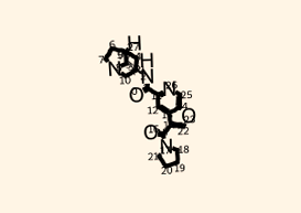 O=C(N[C@@H]1C[C@H]2CCN(C2)C1)c1cc2c(C(=O)N3CCCC3)coc2cn1